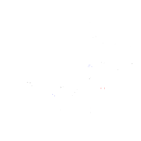 CC(C)=CCN1CC(O)=C(C(=O)Nc2ccccc2C(C)C)C1=O